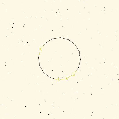 C1CCCCSSSCCCCSCCC1